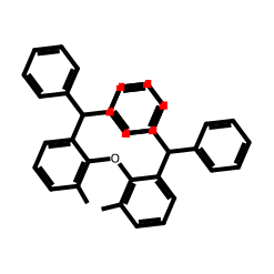 Cc1cccc(C(c2ccccc2)c2ccccc2)c1Oc1c(C)cccc1C(c1ccccc1)c1ccccc1